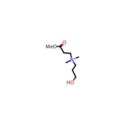 COC(=O)CC[N+](C)(C)CCCO